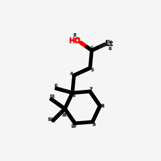 CCC(O)CCC1(C)CCCCC1(C)C